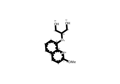 COc1ccc2cccc(OC(CO)CO)c2n1